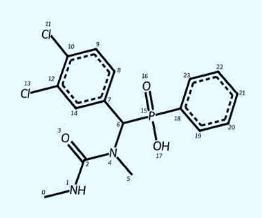 CNC(=O)N(C)C(c1ccc(Cl)c(Cl)c1)P(=O)(O)c1ccccc1